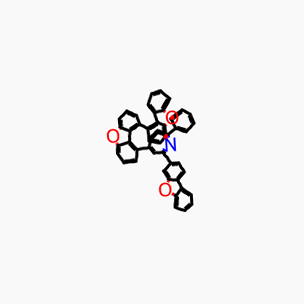 C1=CC(c2cccc3oc4cccc(-c5cccc6oc7ccccc7c56)c4c23)=CC(c2ccc3c(c2)oc2ccccc23)=NC=1c1ccccc1